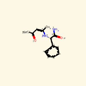 COC(=O)/C=C(/C)N[C@H](C(N)=O)c1ccccc1